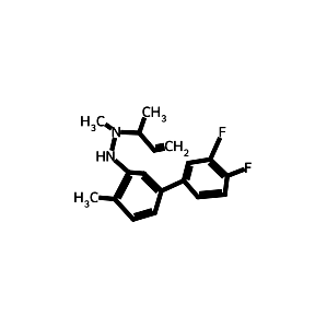 C=CC(C)N(C)Nc1cc(-c2ccc(F)c(F)c2)ccc1C